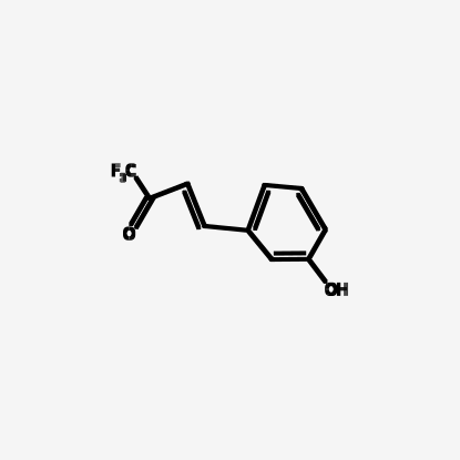 O=C(C=Cc1cccc(O)c1)C(F)(F)F